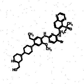 CCc1cc(Nc2ncc(Br)c(Nc3ccc4nccnc4c3P(C)(C)=O)n2)c(OC)cc1N1CCC(N2CCNC(CO)C2)CC1